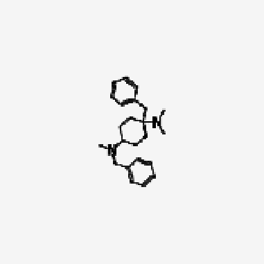 CN(Cc1ccccc1)C1CCC(Cc2ccccc2)(N(C)C)CC1